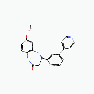 O=C1CC(c2cccc(-c3ccncc3)c2)=Nc2cc(OCC(F)(F)F)ccc2N1